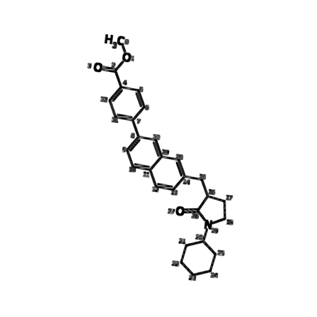 COC(=O)c1ccc(-c2ccc3ccc(CC4CCN(C5CCCCC5)C4=O)cc3c2)cc1